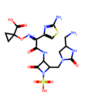 NCC1CN(CC2C(NC(=O)/C(=N\OC3(C(=O)O)CC3)c3csc(N)n3)C(=O)N2S(=O)(=O)O)C(=O)N1